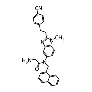 Cn1c(CCc2ccc(C#N)cc2)nc2cc(N(Cc3cccc4ccccc34)C(=O)CN)ccc21